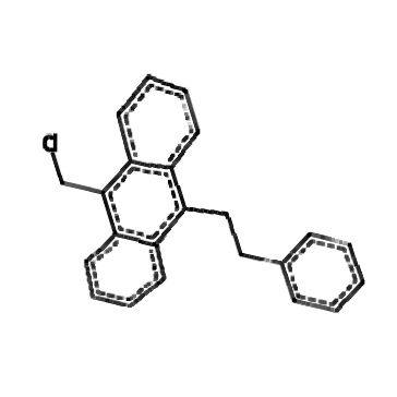 ClCc1c2ccccc2c(CCc2ccccc2)c2ccccc12